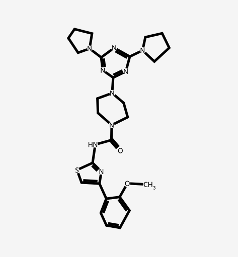 COc1ccccc1-c1csc(NC(=O)N2CCN(c3nc(N4CCCC4)nc(N4CCCC4)n3)CC2)n1